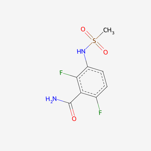 CS(=O)(=O)Nc1ccc(F)c(C(N)=O)c1F